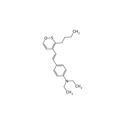 CCCCC1=C(C=Cc2ccc(N(CC)CC)cc2)C=COS1